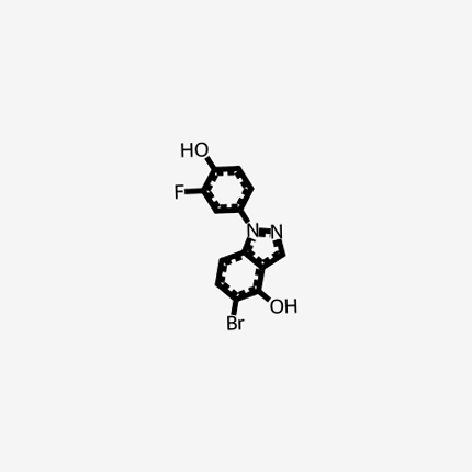 Oc1ccc(-n2ncc3c(O)c(Br)ccc32)cc1F